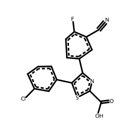 N#Cc1cc(-c2nc(C(=O)O)sc2-c2cccc(Cl)c2)ccc1F